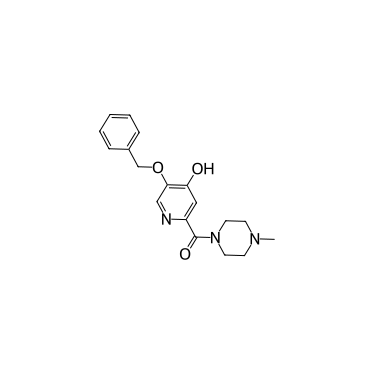 CN1CCN(C(=O)c2cc(O)c(OCc3ccccc3)cn2)CC1